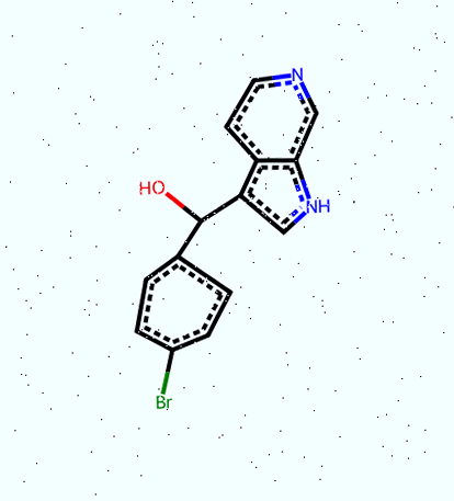 OC(c1ccc(Br)cc1)c1c[nH]c2cnccc12